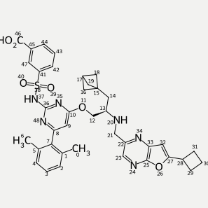 Cc1cccc(C)c1-c1cc(OC[C@@H](CC23CC(C2)C3)NCc2cnc3oc(C4CCC4)cc3n2)nc(NS(=O)(=O)c2cccc(C(=O)O)c2)n1